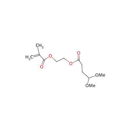 C=C(C)C(=O)OCCOC(=O)CCC(OC)OC